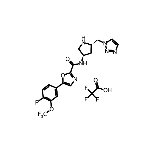 O=C(N[C@H]1CN[C@H](Cn2ccnn2)C1)c1ncc(-c2ccc(F)c(OC(F)(F)F)c2)o1.O=C(O)C(F)(F)F